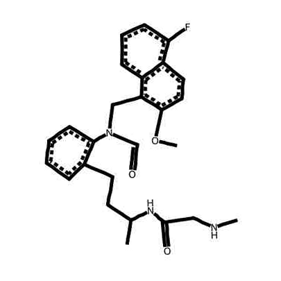 CNCC(=O)NC(C)CCc1ccccc1N(C=O)Cc1c(OC)ccc2c(F)cccc12